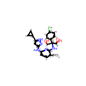 O=[N+]([O-])c1ccc(Nc2cc(C3CC3)[nH]n2)nc1NC(CO)(CO)c1ccc(F)cc1